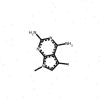 Cn1cc(I)c2c(N)nc(N)nc21